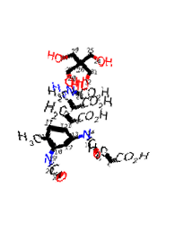 C=CC(=O)O.C=CC(=O)O.C=CC(=O)O.Cc1ccc(N=C=O)cc1N=C=O.NC(=O)O.OCC(CO)(CO)CO